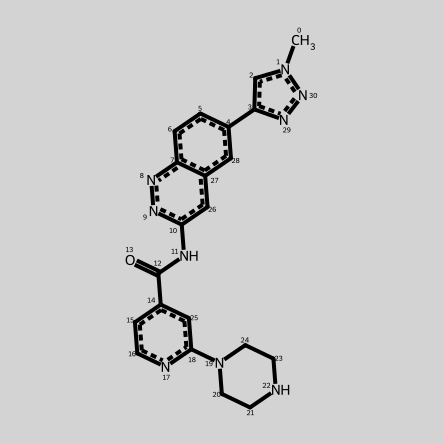 Cn1cc(-c2ccc3nnc(NC(=O)c4ccnc(N5CCNCC5)c4)cc3c2)nn1